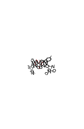 Cc1ccc2c(c1)c1ccccc1n2-c1cc(-c2cc(-c3ccccc3)nc(-c3ccccc3)c2)c(C#N)cc1-n1c2ccc(C)cc2c2ccc(Cc3ccc4c5ccccc5n(-c5cc(C#N)c(-c6cc(C)nc(C)c6)cc5-n5c6ccccc6c6ccc(C)cc65)c4c3)cc21